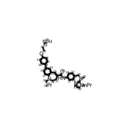 CCCCOCCOc1ccc(-c2ccc3c(c2)C=C(C(=O)Nc2ccc(CN(C)c4nncn4CCC)cc2)CCN3CC(C)C)cc1